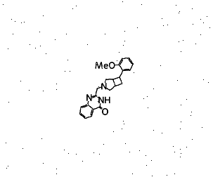 COc1ccccc1C1CC2CN(Cc3nc4ccccc4c(=O)[nH]3)CC21